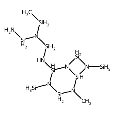 C[SiH2]N([SiH2]N)[SiH2]N[SiH]1N([SiH3])[SiH2]N(C)[SiH]2N([SiH3])[SiH2]N12